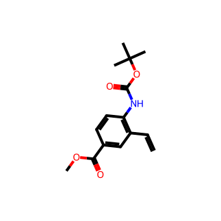 C=Cc1cc(C(=O)OC)ccc1NC(=O)OC(C)(C)C